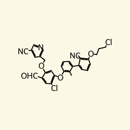 Cc1c(Oc2cc(OCc3cncc(C#N)c3)c(C=O)cc2Cl)cccc1-c1cccc(OCCCCl)c1C#N